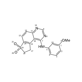 COc1cccc(Nc2ncnc3ccc4c(c23)CCS4(=O)=O)c1